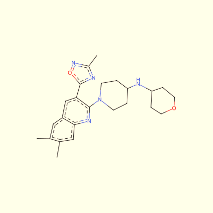 Cc1noc(-c2cc3cc(C)c(C)cc3nc2N2CCC(NC3CCOCC3)CC2)n1